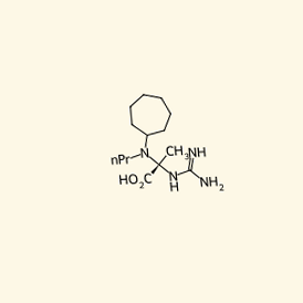 CCCN(C1CCCCCC1)[C@](C)(NC(=N)N)C(=O)O